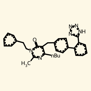 CCCCc1nc(C)n(CCc2ccccc2)c(=O)c1Cc1ccc(-c2ccccc2-c2nnn[nH]2)cc1